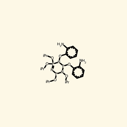 CC(C)ON1P(OC(C)C)N=P(OC(C)C)(OC(C)C)N(Oc2ccccc2N)P1Oc1ccccc1N